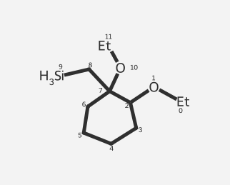 CCOC1CCCCC1(C[SiH3])OCC